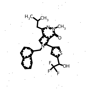 CC(C)Cc1nn(C)c(=O)c2c(-c3csc(C(O)C(F)(F)F)c3)n(Cc3cccc4ccccc34)cc12